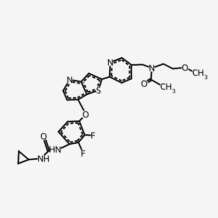 COCCN(Cc1ccc(-c2cc3nccc(Oc4ccc(NC(=O)NC5CC5)c(F)c4F)c3s2)nc1)C(C)=O